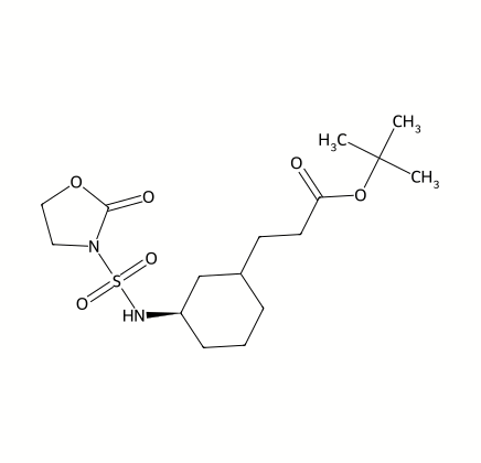 CC(C)(C)OC(=O)CCC1CCC[C@@H](NS(=O)(=O)N2CCOC2=O)C1